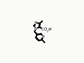 Cc1ccc(Cn2cnc(C)c2C(=O)O)cn1